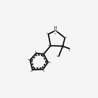 CC1(C)CNCC1c1ccccc1